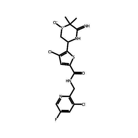 CC1(C)C(=N)NC(c2sc(C(=O)NCc3ncc(F)cc3Cl)cc2Cl)C[S+]1[O-]